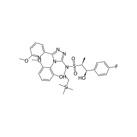 COc1cccc(-c2nnc(N(CC[Si](C)(C)C)S(=O)(=O)[C@@H](C)[C@H](O)c3ccc(F)cc3)n2-c2c(O)cccc2OC)n1